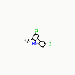 Cc1cc(Cl)cc2c1[nH]c1ccc(Cl)cc12